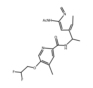 C=N/C(=C\C(=C/C)C(C)NC(=O)c1cc(C)c(OCC(F)F)cn1)NC(C)=O